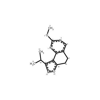 COc1ncc2c(n1)-c1c(C(C)C)noc1CC2